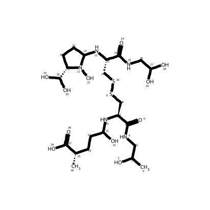 CC(O)CNC(=O)[C@H](CSSC[C@H](NC1CC[C@@H](C(O)O)N1O)C(=O)NCC(O)O)NC(O)CC[C@H](C)C(=O)O